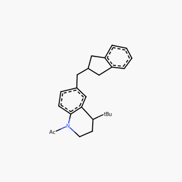 CC(=O)N1CCC(C(C)(C)C)c2cc(CC3Cc4ccccc4C3)ccc21